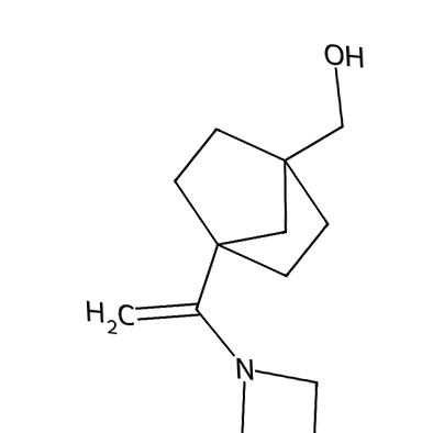 C=C(N1CCC1)C12CCC(CO)(CC1)C2